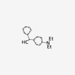 [CH]=C(c1ccccc1)c1ccc(N(CC)CC)cc1